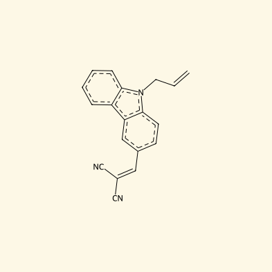 C=CCn1c2ccccc2c2cc(C=C(C#N)C#N)ccc21